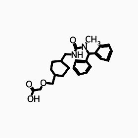 CN(C(=O)NCC1CCC(COCC(=O)O)CC1)C(c1ccccc1)c1ccccc1